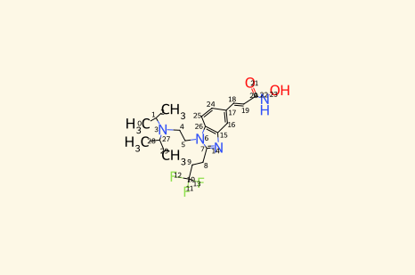 CC(C)N(CCn1c(CCC(F)(F)F)nc2cc(C=CC(=O)NO)ccc21)C(C)C